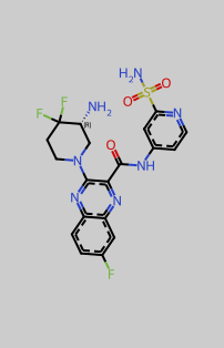 N[C@@H]1CN(c2nc3ccc(F)cc3nc2C(=O)Nc2ccnc(S(N)(=O)=O)c2)CCC1(F)F